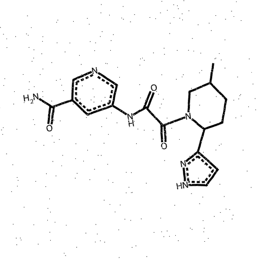 CC1CCC(c2cc[nH]n2)N(C(=O)C(=O)Nc2cncc(C(N)=O)c2)C1